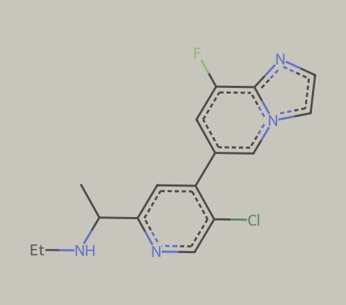 CCNC(C)c1cc(-c2cc(F)c3nccn3c2)c(Cl)cn1